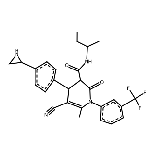 CCC(C)NC(=O)C1C(=O)N(c2cccc(C(F)(F)F)c2)C(C)=C(C#N)C1c1ccc(C2CN2)cc1